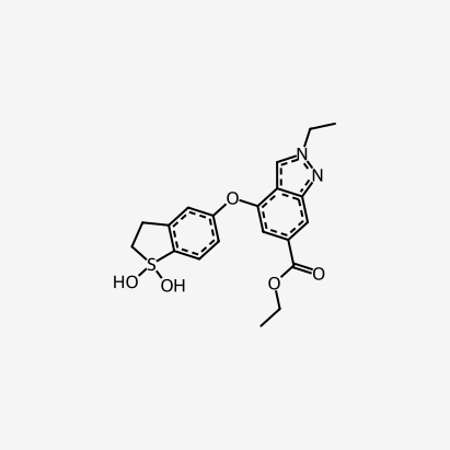 CCOC(=O)c1cc(Oc2ccc3c(c2)CCS3(O)O)c2cn(CC)nc2c1